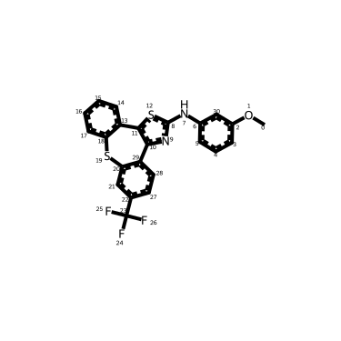 COc1cccc(Nc2nc3c(s2)-c2ccccc2Sc2cc(C(F)(F)F)ccc2-3)c1